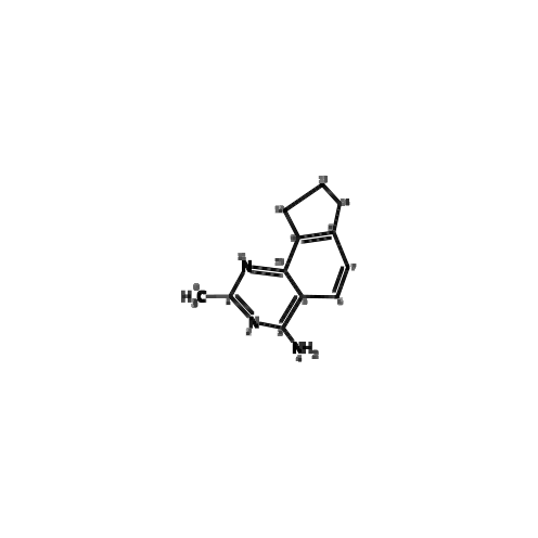 Cc1nc(N)c2ccc3c(c2n1)CCC3